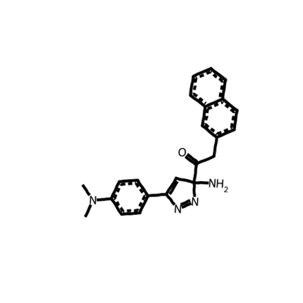 CN(C)c1ccc(C2=CC(N)(C(=O)Cc3ccc4ccccc4c3)N=N2)cc1